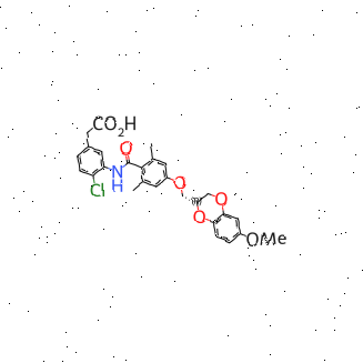 COc1ccc2c(c1)OC[C@@H](COc1cc(C)c(C(=O)Nc3cc(CC(=O)O)ccc3Cl)c(C)c1)O2